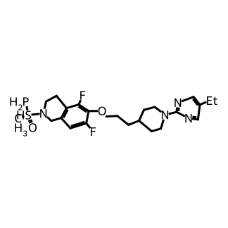 CCc1cnc(N2CCC(CCCOc3c(F)cc4c(c3F)CCN([SH](C)(=O)P)C4)CC2)nc1